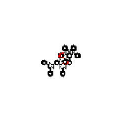 c1ccc(-c2cc(-c3ccccc3)nc(-c3ccc(-n4c5ccccc5c5ccccc54)c(-c4nc(-c5ccccc5)nc(-c5cccc(-c6cc7c8c(c6)N(c6ccccc6)c6ccccc6B8c6ccccc6N7c6ccccc6)c5)n4)c3)n2)cc1